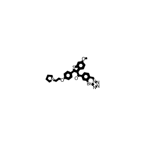 COc1ccc2c(C(=O)c3ccc(Cn4cnnn4)c(Br)c3)c(-c3ccc(OCCN4CCCC4)cc3)sc2c1